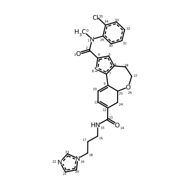 CN(C(=O)c1cc2c(s1)C1=CC=C(C(=O)NCCCn3ccnc3)CC1OCC2)c1ccccc1Cl